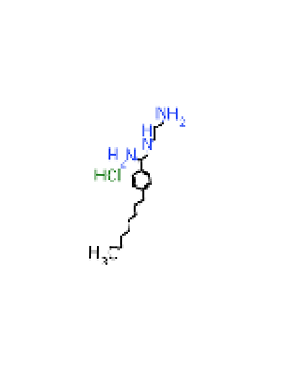 CCCCCCCCc1ccc(C(N)CNCCCN)cc1.Cl